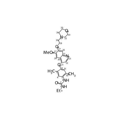 CCNC(=O)Nc1cc(C)c(Oc2ccnc3cc(OCCN4CCOCC4)c(OC)cc23)cc1C